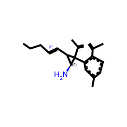 C=C(C)c1ccc(C)cc1C1(C(=C)C)C(/C=C/CCC)[C@@H]1N